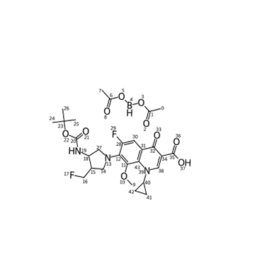 CC(=O)OBOC(C)=O.COc1c(N2CC(CF)C(NC(=O)OC(C)(C)C)C2)c(F)cc2c(=O)c(C(=O)O)cn(C3CC3)c12